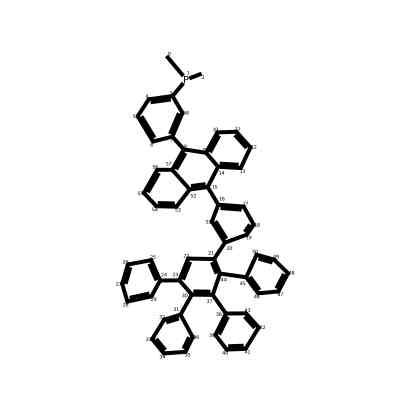 CP(C)c1cccc(-c2c3ccccc3c(-c3cccc(-c4cc(-c5ccccc5)c(-c5ccccc5)c(-c5ccccc5)c4-c4ccccc4)c3)c3ccccc23)c1